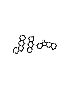 c1ccc2cc3c(cc2c1)oc1cc(-c2c4ccccc4c(-c4c5ccccc5cc5c4ccc4ccccc45)c4ccccc24)ccc13